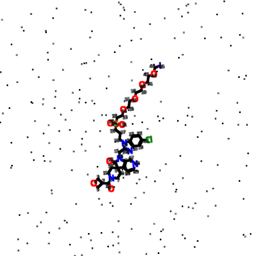 O=C(C1COC1)N1CCC2(CC1)C(=O)N(Cc1nc3cc(Cl)ccc3n1CCCS(=O)(=O)CCOCCOCCOCCOCI)c1cnccc12